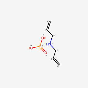 C=CCNCC=C.O=[PH](O)O